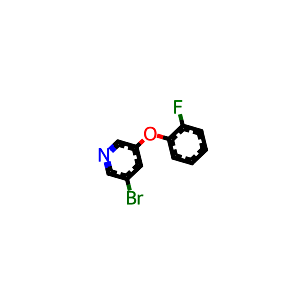 Fc1ccccc1Oc1cncc(Br)c1